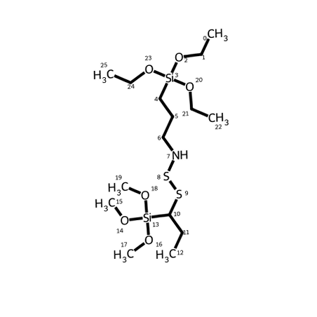 CCO[Si](CCCNSSC(CC)[Si](OC)(OC)OC)(OCC)OCC